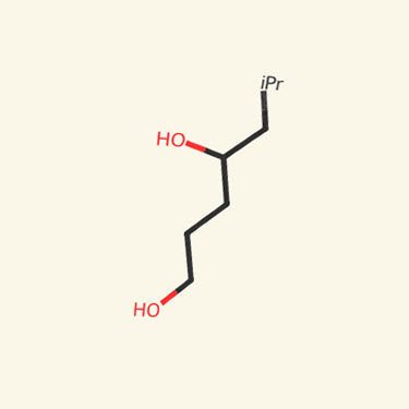 CC(C)CC(O)CCCO